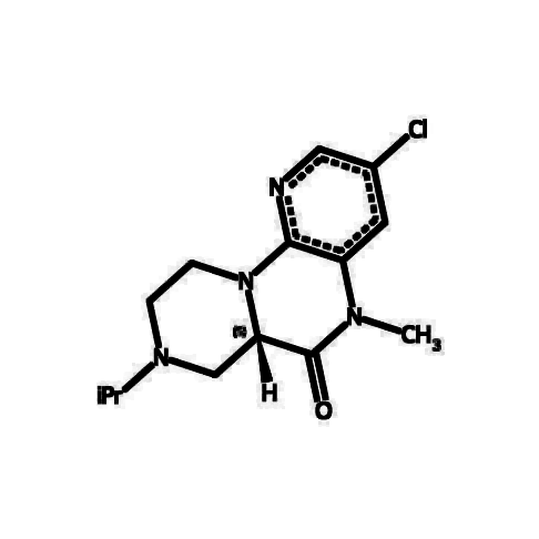 CC(C)N1CCN2c3ncc(Cl)cc3N(C)C(=O)[C@@H]2C1